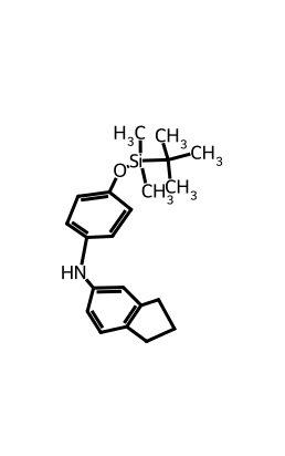 CC(C)(C)[Si](C)(C)Oc1ccc(Nc2ccc3c(c2)CCC3)cc1